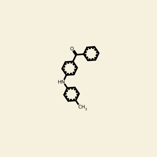 Cc1ccc(Nc2ccc(C(=O)c3ccccc3)cc2)cc1